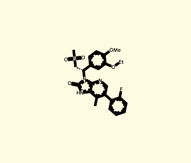 CCOc1cc([C@@H](CS(C)(=O)=O)n2c(=O)[nH]c3c(C)c(-c4ccccc4F)cnc32)ccc1OC